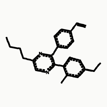 C=Cc1ccc(-c2nc(CCCC)cnc2-c2ccc(CC)cc2C)cc1